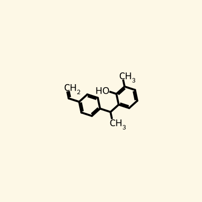 C=Cc1ccc(C(C)c2cccc(C)c2O)cc1